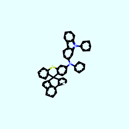 c1ccc(N(c2ccc3c(c2)Sc2ccccc2C32c3ccccc3-c3cccc4cccc2c34)c2ccc3c4ccccc4n(-c4ccccc4)c3c2)cc1